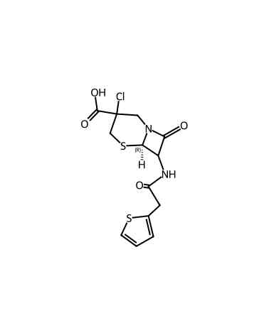 O=C(Cc1cccs1)NC1C(=O)N2CC(Cl)(C(=O)O)CS[C@H]12